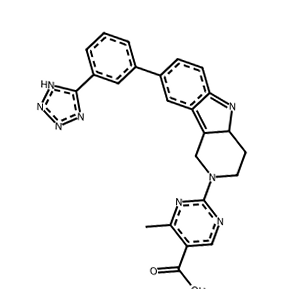 Cc1nc(N2CCC3N=c4ccc(-c5cccc(-c6nnn[nH]6)c5)cc4=C3C2)ncc1C(=O)O